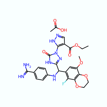 CC(=O)O.CCOC(=O)c1cn[nH]c1-n1nc(C(Nc2ccc(C(=N)N)cc2)c2cc(OC)c3c(c2F)OCCO3)[nH]c1=O